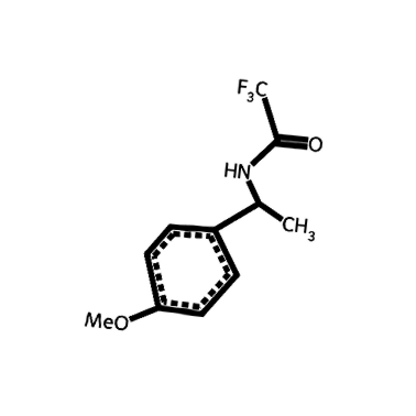 COc1ccc(C(C)NC(=O)C(F)(F)F)cc1